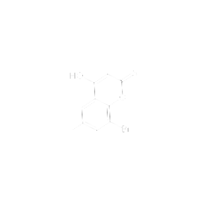 Oc1cc(=S)oc2c(Br)cc(F)cc12